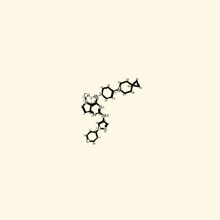 Cn1ccc2nc(Nc3cnn(C4CCOCC4)c3)nc(N[C@H]3CC[C@H](N4CCC5(CC4)CC5)CC3)c21